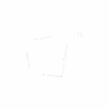 S[C]1CCCCCCC1